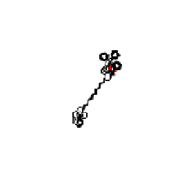 O=C(OCCCCCCCCCCCCOS(=O)(=O)c1ccccn1)C(F)(F)S(=O)(=O)OS(c1ccccc1)(c1ccccc1)c1ccccc1